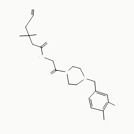 C=CCC(CC)(CC)CC(=O)NCC(=O)N1CCN(Cc2ccc(N)c(Cl)c2)CC1